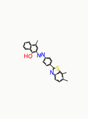 Cc1ccc2nc(-c3ccc(/N=N/c4cc(C)c5ccccc5c4O)cc3)sc2c1C